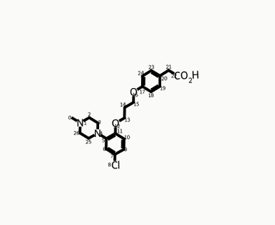 CN1CCN(c2cc(Cl)ccc2OCCCOc2ccc(CC(=O)O)cc2)CC1